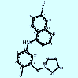 Cc1ccc(Nc2ccnc3cc(Cl)ccc23)cc1CN1CCCC1